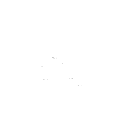 [c]1ccccc1Cc1nccc2ccccc12